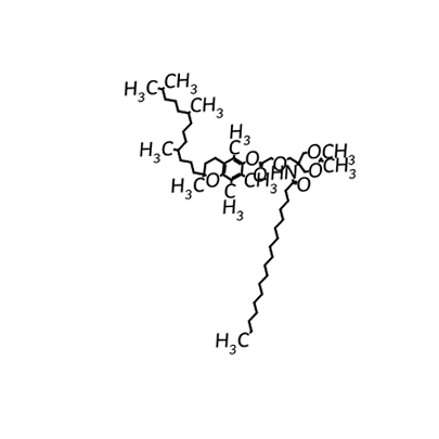 CCCCCCCCCCCCCCCCCC(=O)NC1(COCC(=O)Oc2c(C)c(C)c3c(c2C)CCC(C)(CCCC(C)CCCC(C)CCCC(C)C)O3)COC(C)(C)OC1